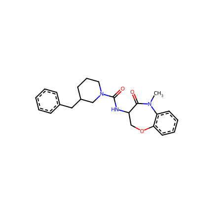 CN1C(=O)C(NC(=O)N2CCCC(Cc3ccccc3)C2)COc2ccccc21